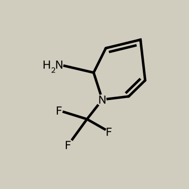 NC1C=CC=CN1C(F)(F)F